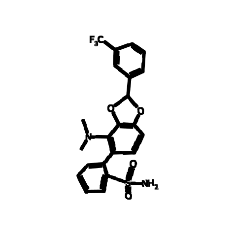 CN(C)c1c(-c2ccccc2S(N)(=O)=O)ccc2c1OC(c1cccc(C(F)(F)F)c1)O2